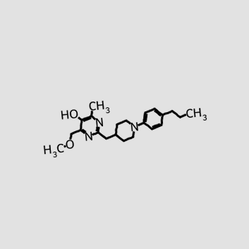 CCCc1ccc(N2CCC(Cc3nc(C)c(O)c(COC)n3)CC2)cc1